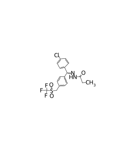 CCC(=O)NN=C(c1ccc(Cl)cc1)c1ccc(CS(=O)(=O)C(F)(F)F)cc1